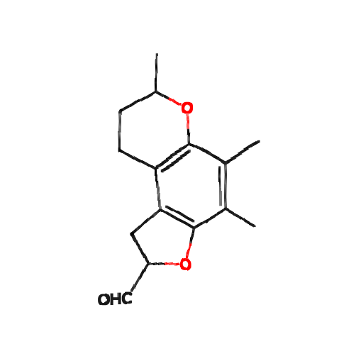 Cc1c(C)c2c(c3c1OC(C)CC3)CC(C=O)O2